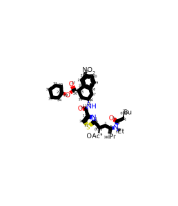 CC[C@H](C)CC(=O)N(CC)C(C[C@@H](OC(C)=O)c1nc(C(=O)N[C@H]2Cc3ccc([N+](=O)[O-])cc3[C@H](C(=O)OC3CCCCC3)C2)cs1)C(C)C